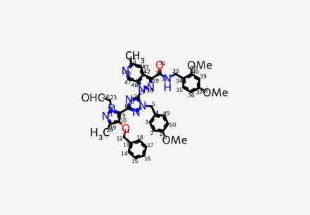 COc1ccc(Cn2nc(-c3c(OCc4ccccc4)c(C)nn3CC=O)nc2-n2nc(C(=O)NCc3ccc(OC)cc3OC)c3cc(C)ncc32)cc1